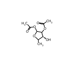 CC(=O)OC1OC(C)[C@H](O)C1OC(C)=O